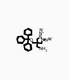 [N-]=[N+]=NCC(CN)(CN=[N+]=[N-])COC(c1ccccc1)(c1ccccc1)c1ccccc1